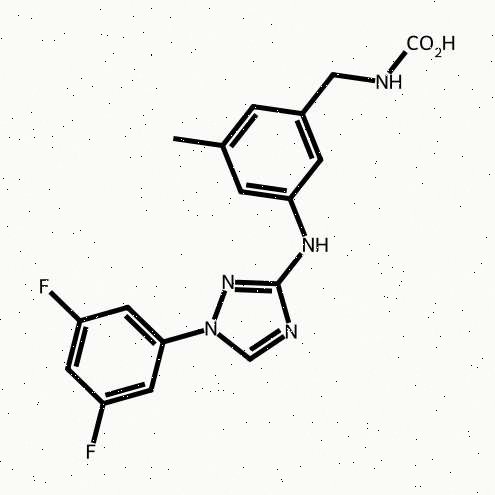 Cc1cc(CNC(=O)O)cc(Nc2ncn(-c3cc(F)cc(F)c3)n2)c1